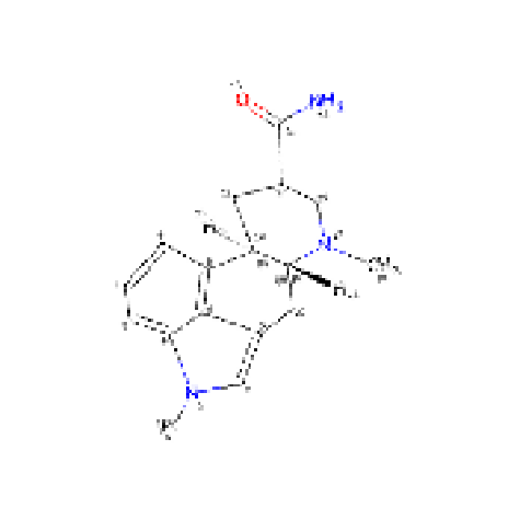 CC(C)n1cc2c3c(cccc31)[C@H]1CC(C(N)=O)CN(C)[C@@H]1C2